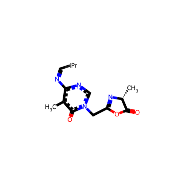 Cc1c(/N=C\C(C)C)ncn(CC2=N[C@H](C)C(=O)O2)c1=O